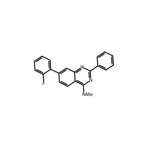 CNc1nc(-c2ccccc2)nc2cc(-c3ccccc3F)ccc12